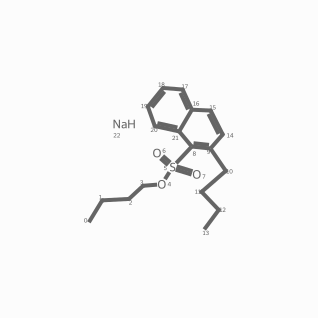 CCCCOS(=O)(=O)c1c(CCCC)ccc2ccccc12.[NaH]